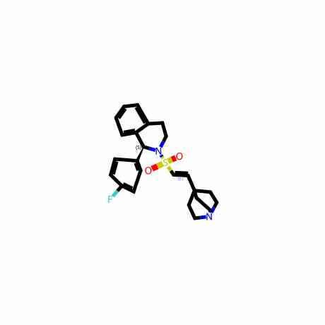 O=S(=O)(/C=C/C12CCN(CC1)CC2)N1CCc2ccccc2[C@@H]1c1ccc(F)cc1